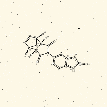 O=C1[C@@H]2[C@H](C(=O)N1c1ccc3[nH]c(=O)sc3c1)[C@@H]1C=C[C@H]2C1